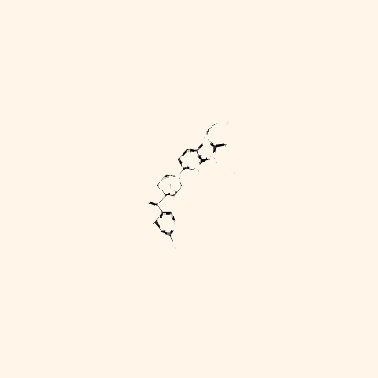 Cn1c(=O)n(CC(C)(C)C)c2ccc(N3CC4CCC3CN4C(=O)c3ccc(N)nc3)nc21